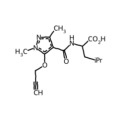 C#CCOc1c(C(=O)NC(CC(C)C)C(=O)O)c(C)nn1C